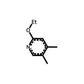 CCOc1cc(C)c(C)cn1